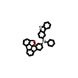 c1ccc(N(c2ccc3c(c2)C24c5ccccc5-c5cccc(c52)-c2cccc-3c24)c2ccc3sc4ccccc4c3c2)cc1